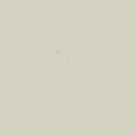 CC(=O)c1c([S+]([O-])Cc2cc(F)cc(S(F)(F)(F)(F)F)c2)[nH]c2c(Br)ccc(Cl)c2c1=O